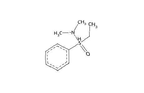 CC[SH](=O)(c1ccccc1)N(C)C